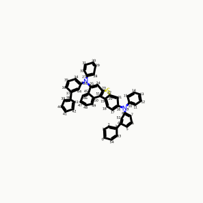 c1ccc(-c2cccc(N(c3ccccc3)c3ccc4c(c3)sc3cc(N(c5ccccc5)c5cccc(-c6ccccc6)c5)c5ccccc5c34)c2)cc1